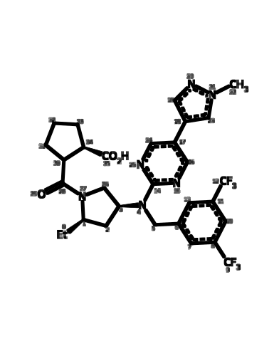 CC[C@@H]1C[C@H](N(Cc2cc(C(F)(F)F)cc(C(F)(F)F)c2)c2ncc(-c3cnn(C)c3)cn2)CN1C(=O)C1CCC[C@H]1C(=O)O